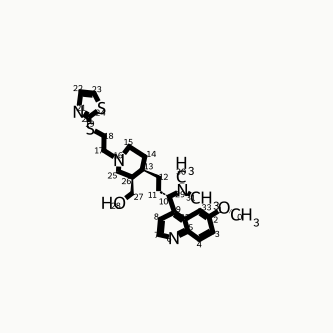 COc1ccc2nccc([C@H](CC[C@@H]3CCN(CCSc4nccs4)C[C@@H]3CO)N(C)C)c2c1